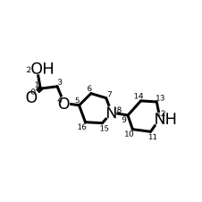 O=C(O)COC1CCN(C2CCNCC2)CC1